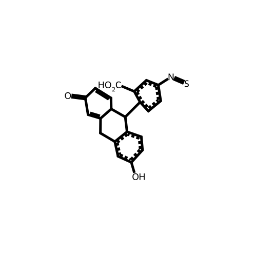 O=C1C=CC2C(=C1)Cc1cc(O)ccc1C2c1ccc(N=S)cc1C(=O)O